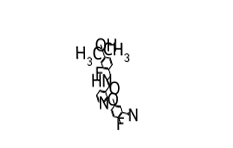 CC(C)(O)c1ccc(CNC(=O)c2cccnc2Oc2ccc(F)c(C#N)c2)c(F)c1